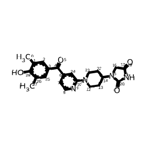 Cc1cc(C(=O)c2ccnc(N3CCC(N4CC(=O)NC4=O)CC3)c2)cc(C)c1O